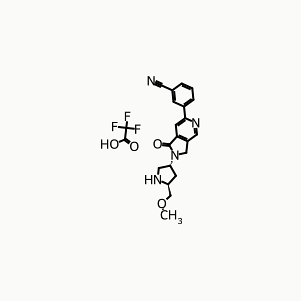 COC[C@@H]1C[C@@H](N2Cc3cnc(-c4cccc(C#N)c4)cc3C2=O)CN1.O=C(O)C(F)(F)F